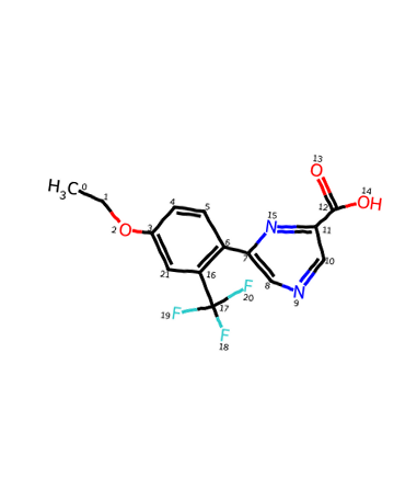 CCOc1ccc(-c2cncc(C(=O)O)n2)c(C(F)(F)F)c1